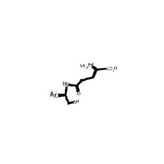 CC(=O)C(CS)NC(=O)CCC(N)C(=O)O